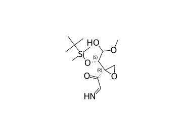 COC(O)[C@@H](O[Si](C)(C)C(C)(C)C)[C@@]1(C(=O)C=N)CO1